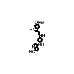 COc1ccc2c(CCNc3ccc(Nc4ccnc5c4CCC5O)cc3)c[nH]c2c1